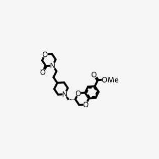 COC(=O)c1ccc2c(c1)O[C@@H](CN1CCC(CCN3CCOCC3=O)CC1)CO2